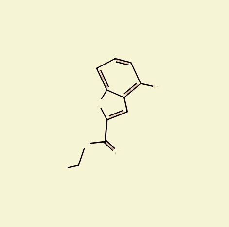 CCOC(=O)c1cc2c(Br)cccc2s1